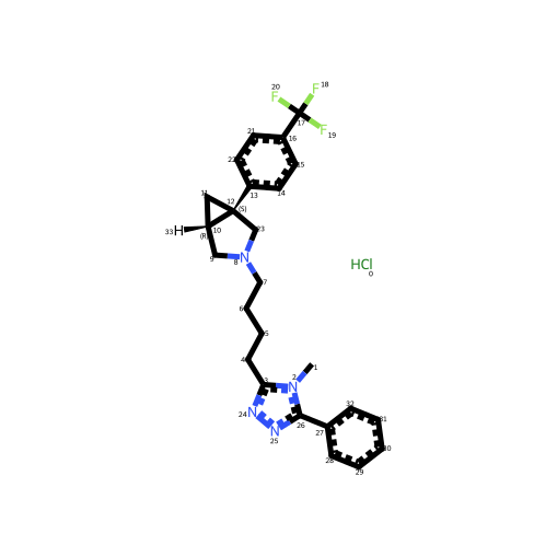 Cl.Cn1c(CCCCN2C[C@@H]3C[C@]3(c3ccc(C(F)(F)F)cc3)C2)nnc1-c1ccccc1